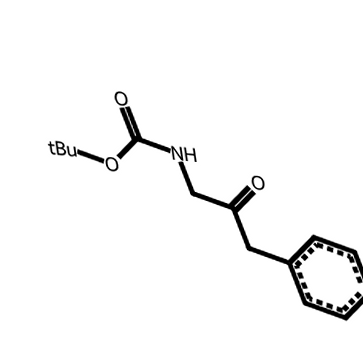 CC(C)(C)OC(=O)NCC(=O)Cc1ccncc1